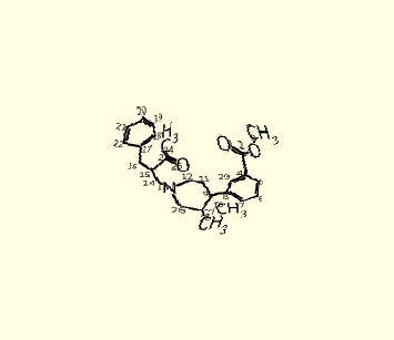 COC(=O)c1cccc([C@]2(C)CCN(CC(Cc3ccccc3)C(C)=O)CC2C)c1